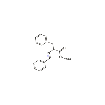 CC(C)(C)OC(=O)C(Cc1ccccc1)/N=C/c1ccccc1